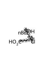 CCCCC1(C(O)CCCN2CC[C@@H](Cl)[C@@H]2CC=CCCCC(=O)O)CCC1